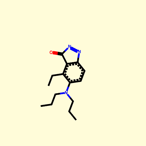 CCCN(CCC)c1ccc2c(c1CC)C(=O)N=N2